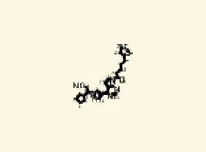 N#CCC(C1CCCC1)n1cc(-c2ncnc3c2ccn3C(=O)CCCCC2CCSS2)cn1